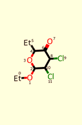 CCOC1OC(CC)C(=O)C(Cl)C1Cl